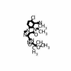 COC(C)(C)c1nc(-c2ncn3c2c(=O)n(C(C)C)c2c(C#N)c(Cl)ccc23)no1